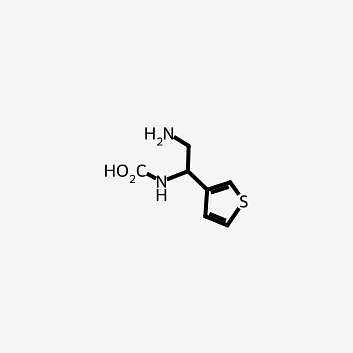 NCC(NC(=O)O)c1ccsc1